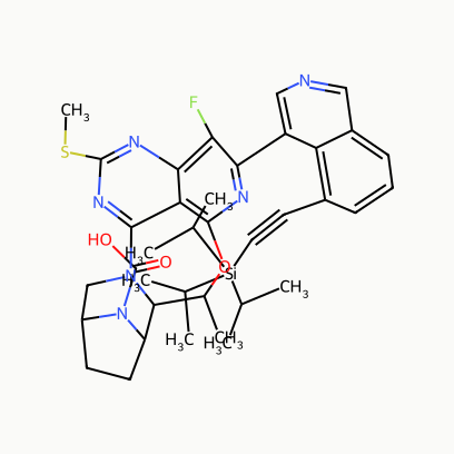 CSc1nc2c3c(nc(-c4cncc5cccc(C#C[Si](C(C)C)(C(C)C)C(C)C)c45)c(F)c3n1)OC(C)C1C3CCC(CN21)N3C(=O)O